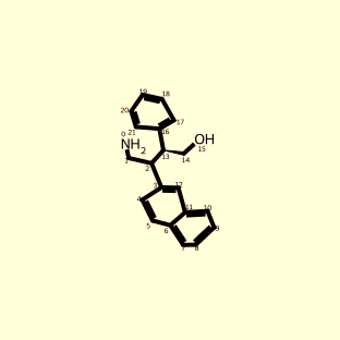 NCC(c1ccc2ccccc2c1)[C@H](CO)c1ccccc1